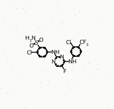 NS(=O)(=O)c1cc(Nc2ncc(F)c(Nc3ccc(C(F)(F)F)c(Cl)c3)n2)ccc1Cl